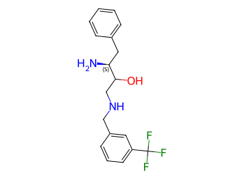 N[C@@H](Cc1ccccc1)C(O)CNCc1cccc(C(F)(F)F)c1